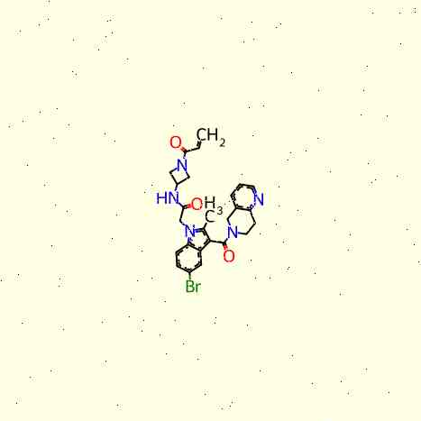 C=CC(=O)N1CC(NC(=O)Cn2c(C)c(C(=O)N3CCc4ncccc4C3)c3cc(Br)ccc32)C1